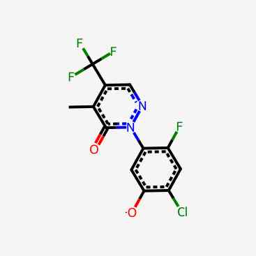 Cc1c(C(F)(F)F)cnn(-c2cc([O])c(Cl)cc2F)c1=O